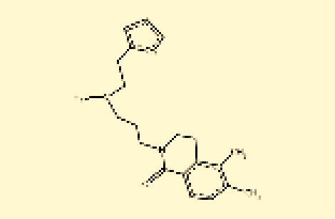 Cc1ccc2c(c1C)CCN(CCCN(C)CCc1ccco1)C2=O